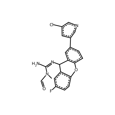 CN(C=O)/C(N)=N\C1c2cc(F)ccc2Oc2ccc(-c3cncc(Cl)c3)cc21